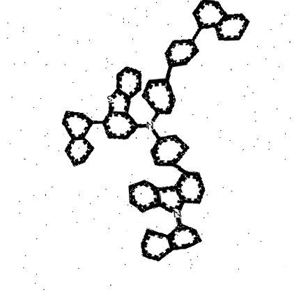 c1ccc2c(-c3ccc(-c4ccc(N(c5ccc(-c6cccc7c6c6ccccc6n7-c6cccc7ccccc67)cc5)c5ccc(-c6cccc7ccccc67)c6sc7ccccc7c56)cc4)cc3)cccc2c1